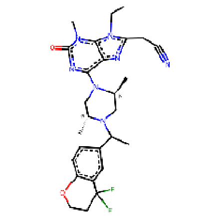 CCn1c(CC#N)nc2c(N3C[C@@H](C)N(C(C)c4ccc5c(c4)C(F)(F)CCO5)C[C@@H]3C)nc(=O)n(C)c21